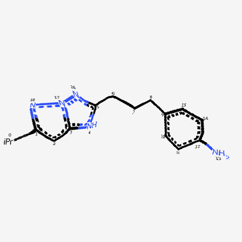 CC(C)c1cc2[nH]c(CCCc3ccc(N)cc3)nn2n1